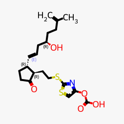 C=C(C)CC[C@@H](O)C/C=C/[C@H]1CCC(=O)[C@@H]1CCSc1nc(OC(=O)O)cs1